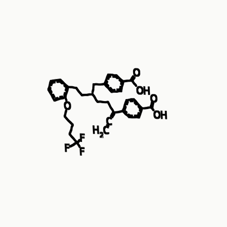 C=C=C(CCC(CCc1ccccc1OCCCC(F)(F)F)Cc1ccc(C(=O)O)cc1)c1ccc(C(=O)O)cc1